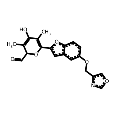 CC1=C(c2cc3cc(OCc4cocn4)ccc3o2)OC(C=O)C(C)=C1O